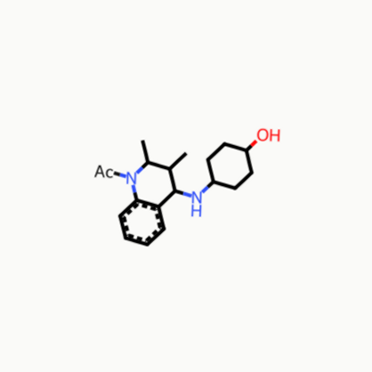 CC(=O)N1c2ccccc2C(NC2CCC(O)CC2)C(C)C1C